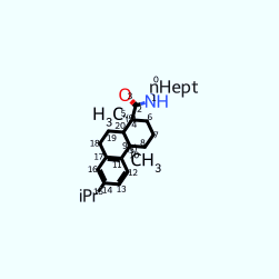 CCCCCCCNC(=O)[C@@]1(C)CCC[C@@]2(C)c3ccc(C(C)C)cc3CCC21